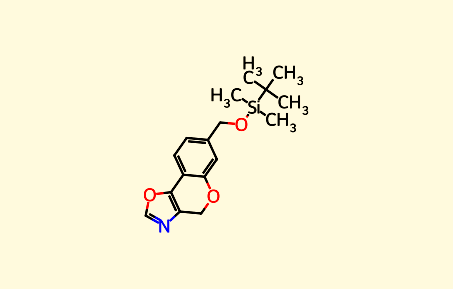 CC(C)(C)[Si](C)(C)OCc1ccc2c(c1)OCc1ncoc1-2